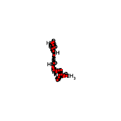 CNC(=O)N1CCc2c(c(N3CCCc4cc(-c5cnn(CCNC(=O)CCCCCCCNc6ccc7c(c6)C(=O)N(C6CCC(=O)NC6=O)C7=O)c5)c(C(F)F)cc43)nn2C2CCOCC2)C1